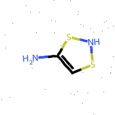 NC1=CSNS1